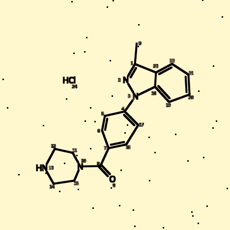 Cc1nn(-c2ccc(C(=O)N3CCNCC3)cc2)c2ccccc12.Cl